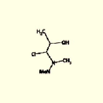 CNN(C)C(Cl)C(C)O